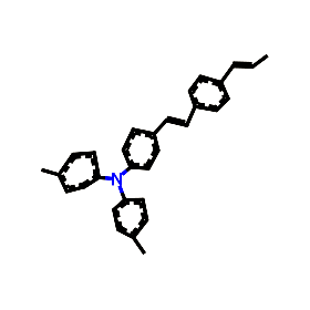 CC=Cc1ccc(C=Cc2ccc(N(c3ccc(C)cc3)c3ccc(C)cc3)cc2)cc1